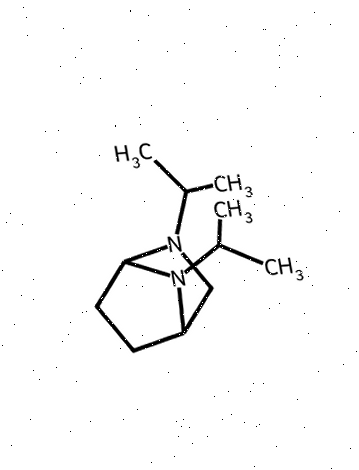 CC(C)N1CC2CCC1N2C(C)C